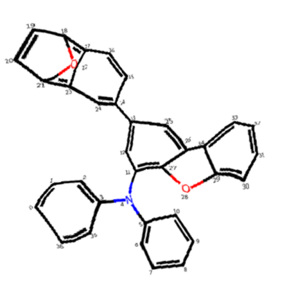 c1ccc(N(c2ccccc2)c2cc(-c3ccc4c5ccc(o5)c4c3)cc3c2oc2ccccc23)cc1